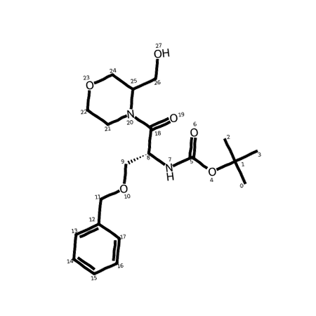 CC(C)(C)OC(=O)N[C@H](COCc1ccccc1)C(=O)N1CCOCC1CO